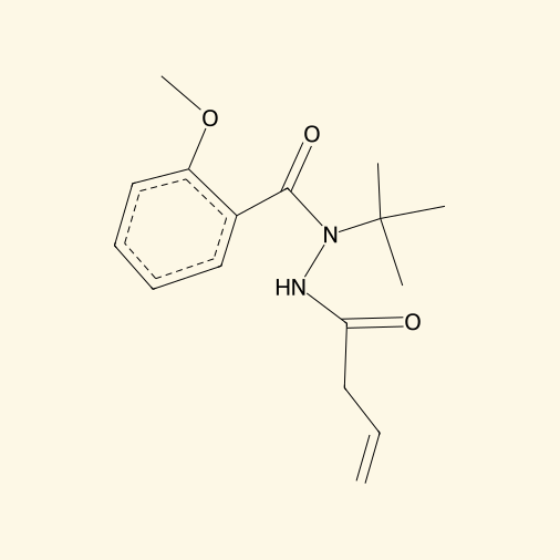 C=CCC(=O)NN(C(=O)c1ccccc1OC)C(C)(C)C